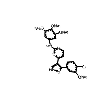 COc1cc(-c2n[nH]cc2-c2ccnc(Nc3cc(OC)c(OC)c(OC)c3)n2)ccc1Cl